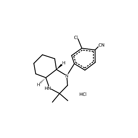 CC1(C)CN(c2ccc(C#N)c(Cl)c2)[C@H]2CCCC[C@@H]2N1.Cl